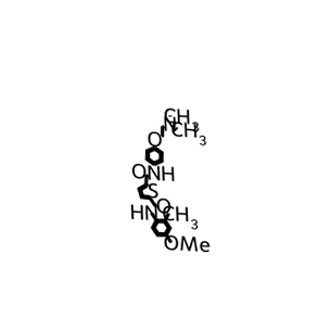 COc1ccc(NC(=O)c2ccc(C(=O)Nc3ccc(OCCN(C)C)cc3)s2)c(C)c1